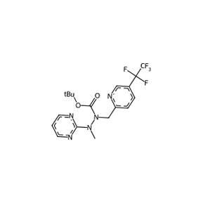 CN(c1ncccn1)N(Cc1ccc(C(F)(F)C(F)(F)F)cn1)C(=O)OC(C)(C)C